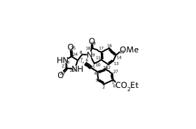 CCOC(=O)c1ccc(C#C[C@]2(CN3Cc4ccc(OC)cc4C3=O)NC(=O)NC2=O)cc1